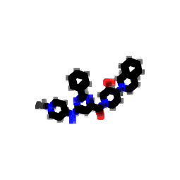 CC(=O)N1CCC(Nc2cc(C(=O)N3CC[C@H](N4CCc5ccccc5C4)[C@@H](O)C3)nc(-c3ccccc3)n2)CC1